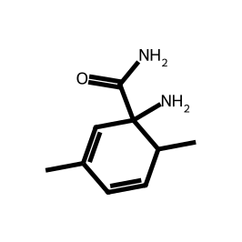 CC1=CC(N)(C(N)=O)C(C)C=C1